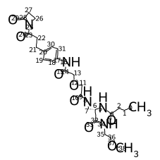 CCCC(=O)N[C@@H](CNC(=O)COCC(=O)Nc1ccc(CCC(=O)N2CCC2=O)cc1)C(=O)NCCOC